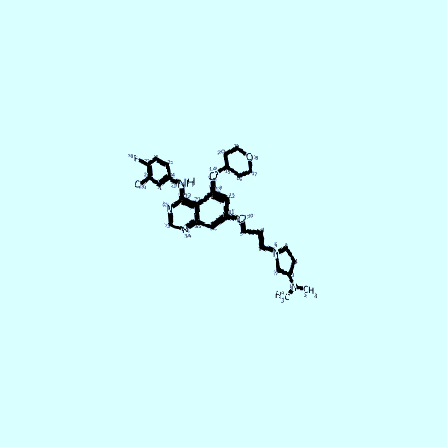 CN(C)C1CCN(CCCOc2cc(OC3CCOCC3)c3c(Nc4ccc(F)c(Cl)c4)ncnc3c2)C1